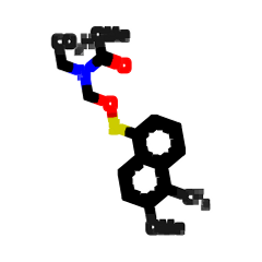 COC(=O)N(COSc1cccc2c(C(F)(F)F)c(OC)ccc12)CC(=O)O